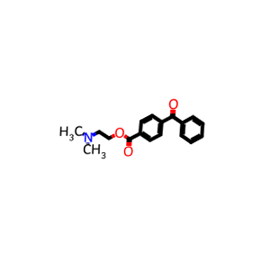 CN(C)CCOC(=O)c1ccc(C(=O)c2ccccc2)cc1